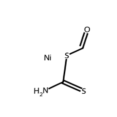 NC(=S)SC=O.[Ni]